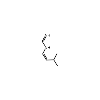 CC(C)/C=C\NC=N